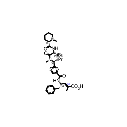 CC[C@H](C)[C@H](NC(=O)[C@H]1CCCCN1C)C(=O)N(C)[C@H](c1nc(C(=O)N[C@H](/C=C(\C)C(=O)O)Cc2ccccc2)cs1)C(C)C